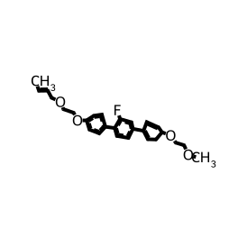 C/C=C/COCCOc1ccc(-c2ccc(C3=CCC(OCCOC)C=C3)cc2F)cc1